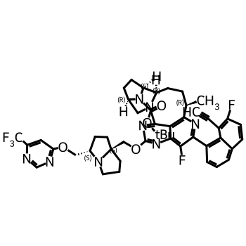 C#Cc1c(F)ccc2cccc(-c3nc4c5c(nc(OC[C@@]67CCCN6[C@H](COc6cc(C(F)(F)F)ncn6)CC7)nc5c3F)N3C[C@H]5CC[C@@H]([C@H]3CC[C@H]4C)N5C(=O)OC(C)(C)C)c12